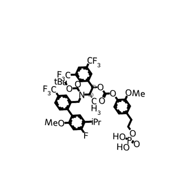 COc1cc(CCOP(=O)(O)O)ccc1OC(=O)O[C@H](c1cc(C(F)(F)F)cc(C(F)(F)F)c1)[C@H](C)N(Cc1cc(C(F)(F)F)ccc1-c1cc(C(C)C)c(F)cc1OC)C(=O)OC(C)(C)C